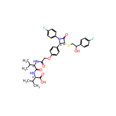 CC(C)[C@@H](NC(=O)[C@H](NC(=O)COc1ccc([C@@H]2[C@@H](SCC(O)c3ccc(F)cc3)C(=O)N2c2ccc(F)cc2)cc1)C(C)C)C(=O)O